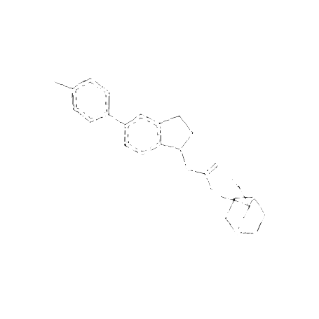 Cc1ccc(-c2ccc3c(c2)CCC3NC(=O)O[C@H]2CN3CCC2CC3)cc1